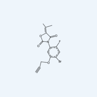 C#CCOc1cc(N2C(=O)OC(=C(C)C)C2=O)c(F)cc1Br